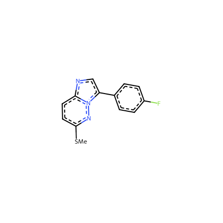 CSc1ccc2ncc(-c3ccc(F)cc3)n2n1